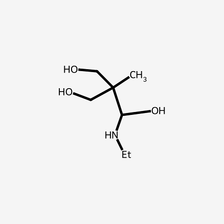 CCNC(O)C(C)(CO)CO